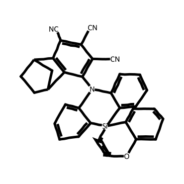 N#Cc1c(C#N)c2c(c(N3c4ccccc4[Si]4(c5ccccc5Oc5ccccc54)c4ccccc43)c1C#N)C1CCC2C1